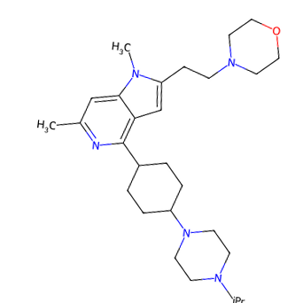 Cc1cc2c(cc(CCN3CCOCC3)n2C)c(C2CCC(N3CCN(C(C)C)CC3)CC2)n1